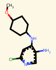 COC1CCC(Nc2cc(Cl)ncc2N)CC1